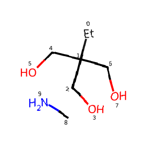 CCC(CO)(CO)CO.CN